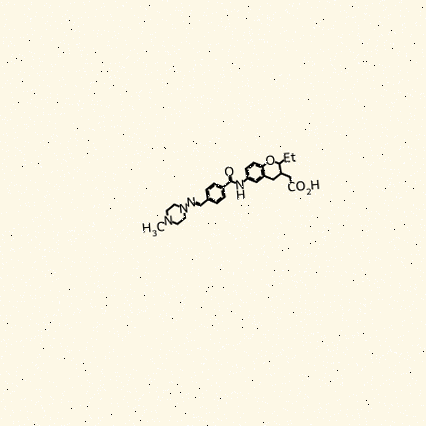 CCC1Oc2ccc(NC(=O)c3ccc(C=NN4CCN(C)CC4)cc3)cc2CC1CC(=O)O